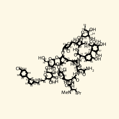 CN[C@H](CC(C)C)C(=O)NC1C(=O)N[C@@H](CC(N)=O)C(=O)N[C@H]2C(=O)N[C@H]3C(=O)N[C@H](C(=O)N[C@@H](C(=O)O)c4cc(O)cc(O)c4-c4cc3ccc4O)[C@H](CO[C@H]3C[C@](C)(N)[C@@H](O)[C@H](C)O3)c3ccc(c(Cl)c3)Oc3cc2cc(c3O[C@@H]2O[C@H](CO)[C@@H](O[C@@H]3O[C@H](CNCc4ccc(-c5ccc(Cl)cc5)s4)[C@H](O)[C@H](O)[C@H]3O)[C@H](O)[C@H]2O)Oc2ccc(cc2Cl)[C@H]1O